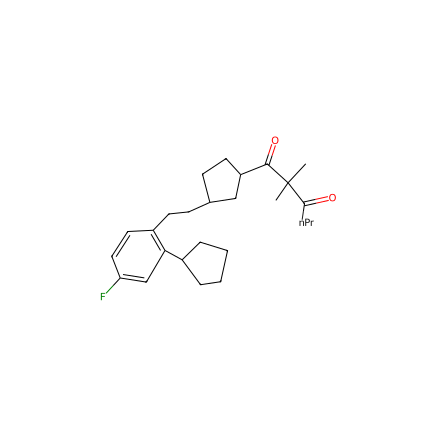 CCCC(=O)C(C)(C)C(=O)C1CCC(CCc2ccc(F)cc2C2CCCC2)C1